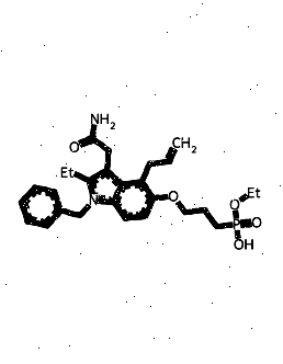 C=CCc1c(OCCCP(=O)(O)OCC)ccc2c1c(CC(N)=O)c(CC)n2Cc1ccccc1